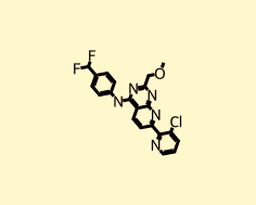 COCc1nc([N]c2ccc(C(F)F)cc2)c2ccc(-c3ncccc3Cl)nc2n1